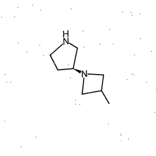 CC1CN([C@H]2CCNC2)C1